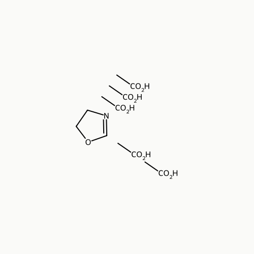 C1=NCCO1.CC(=O)O.CC(=O)O.CC(=O)O.CC(=O)O.CC(=O)O